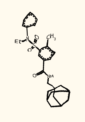 CCN(c1ccccc1)S(=O)(=O)c1cc(C(=O)NCC23CC4CC(CC(C4)C2)C3)ccc1C